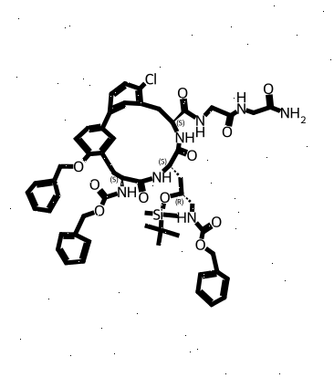 CC(C)(C)[Si](C)(C)O[C@@H](CNC(=O)OCc1ccccc1)C[C@@H]1NC(=O)[C@@H](NC(=O)OCc2ccccc2)Cc2cc(ccc2OCc2ccccc2)-c2ccc(Cl)c(c2)C[C@@H](C(=O)NCC(=O)NCC(N)=O)NC1=O